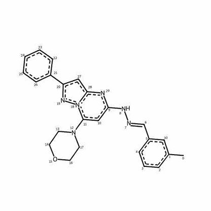 Cc1cccc(C=NNc2cc(N3CCOCC3)n3nc(-c4ccccc4)cc3n2)c1